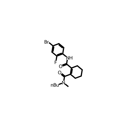 CCCCN(C)C(=O)C1=C(C(=O)Nc2ccc(Br)cc2F)CCCC1